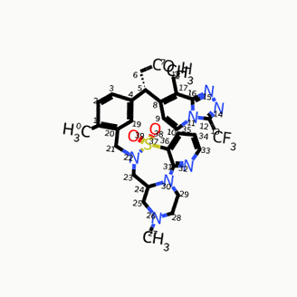 Cc1ccc([C@H](CC(=O)O)c2ccn3c(C(F)(F)F)nnc3c2C)cc1CN1CC2CN(C)CCN2c2ncccc2S1(=O)=O